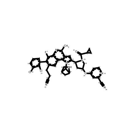 Cc1nc2c(F)c(-c3cccc(Cl)c3Cl)c(CCC#N)cc2c2c1cc(C1CC(Oc3ccnc(C#N)c3)CN1C(=O)C1CC1)n2C1C2CNC1C2